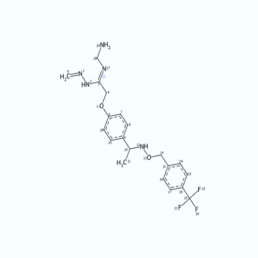 C=NN/C(COc1ccc(C(C)NOCc2ccc(C(F)(F)F)cc2)cc1)=N\CN